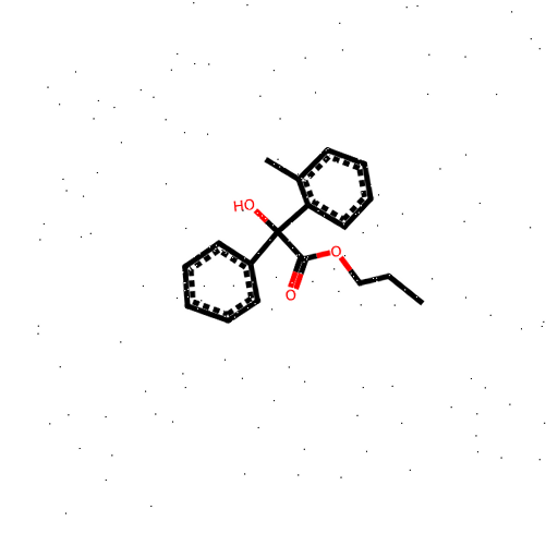 CCCOC(=O)C(O)(c1ccccc1)c1ccccc1C